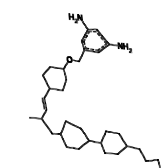 CCCCC1CCC(C2CCC(CC(C)/C=C/C3CCC(OCc4cc(N)cc(N)c4)CC3)CC2)CC1